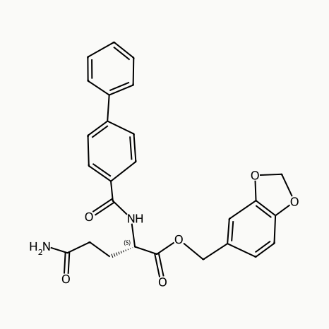 NC(=O)CC[C@H](NC(=O)c1ccc(-c2ccccc2)cc1)C(=O)OCc1ccc2c(c1)OCO2